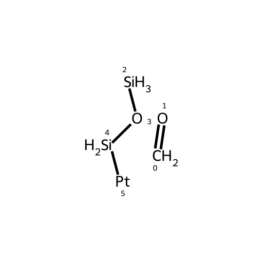 C=O.[SiH3]O[SiH2][Pt]